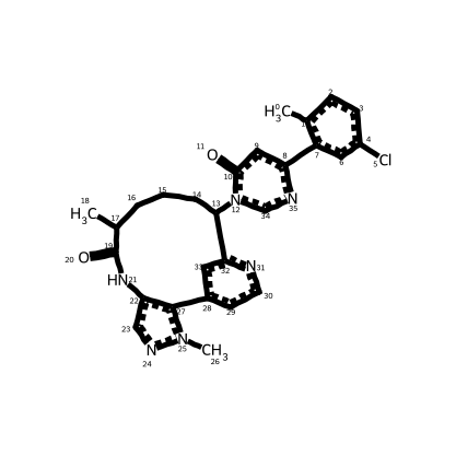 Cc1ccc(Cl)cc1-c1cc(=O)n(C2CCCC(C)C(=O)Nc3cnn(C)c3-c3ccnc2c3)cn1